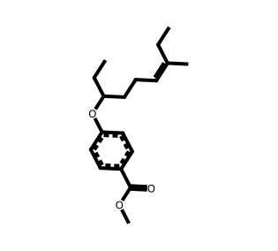 CCC(C)=CCCC(CC)Oc1ccc(C(=O)OC)cc1